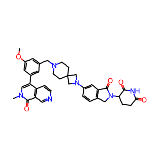 COc1cc(CN2CCC3(CC2)CN(c2ccc4c(c2)C(=O)N(C2CCC(=O)NC2=O)C4)C3)cc(-c2cn(C)c(=O)c3cnccc23)c1